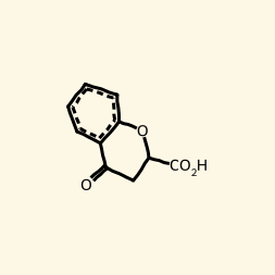 O=C1CC(C(=O)O)Oc2ccccc21